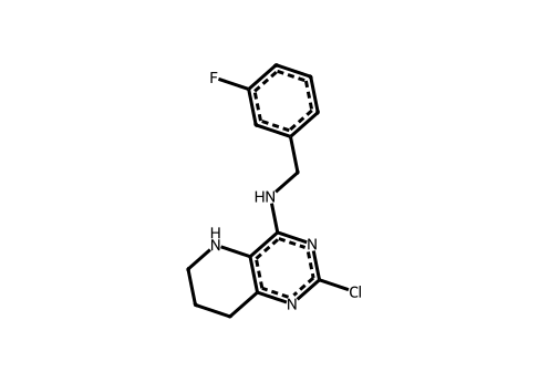 Fc1cccc(CNc2nc(Cl)nc3c2NCCC3)c1